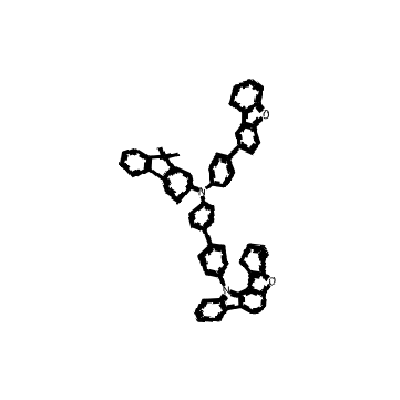 CC1(C)c2ccccc2-c2ccc(N(c3ccc(-c4ccc(-n5c6ccccc6c6ccc7oc8ccccc8c7c65)cc4)cc3)c3ccc(-c4ccc5oc6ccccc6c5c4)cc3)cc21